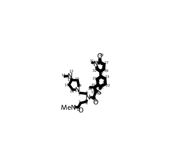 CNC(=O)CCN(CCN1CCC(N(C)C)CC1)C(=O)c1sc2ccc(-c3ccc(=O)n(C)c3)cc2c1C